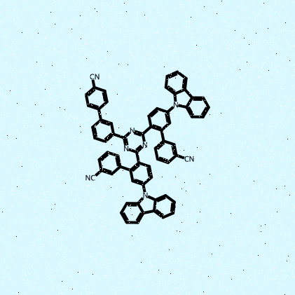 N#Cc1ccc(-c2cccc(-c3nc(-c4ccc(-n5c6ccccc6c6ccccc65)cc4-c4cccc(C#N)c4)nc(-c4ccc(-n5c6ccccc6c6ccccc65)cc4-c4cccc(C#N)c4)n3)c2)cc1